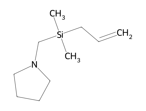 C=CC[Si](C)(C)CN1CCCC1